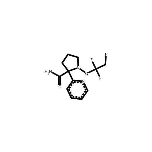 NC(=O)C1(c2ccccn2)CCCN1OC(F)(F)CF